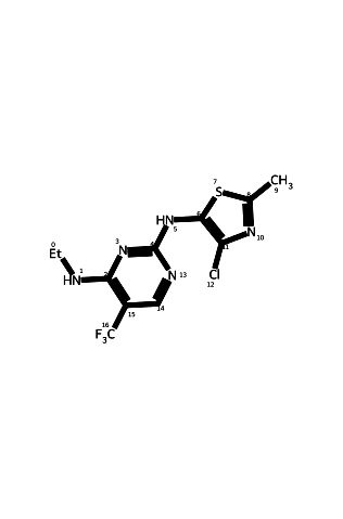 CCNc1nc(Nc2sc(C)nc2Cl)ncc1C(F)(F)F